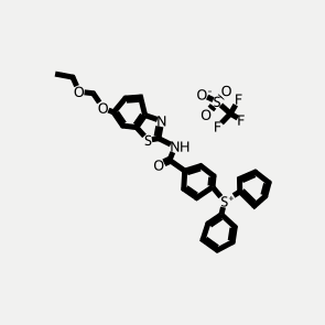 CCOCOc1ccc2nc(NC(=O)c3ccc([S+](c4ccccc4)c4ccccc4)cc3)sc2c1.O=S(=O)([O-])C(F)(F)F